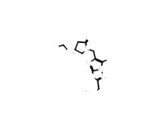 COCc1nn2c(C(F)(F)F)c(CN3C[C@H](CCC(F)(F)F)CC3=O)nc2s1